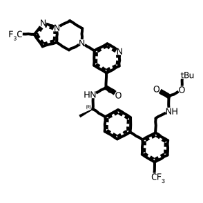 C[C@@H](NC(=O)c1cncc(N2CCn3nc(C(F)(F)F)cc3C2)c1)c1ccc(-c2cc(C(F)(F)F)ccc2CNC(=O)OC(C)(C)C)cc1